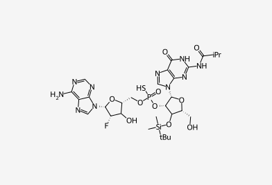 CC(C)C(=O)Nc1nc2c(ncn2[C@@H]2O[C@H](CO)C(O[Si](C)(C)C(C)(C)C)[C@@H]2OP(=O)(S)OC[C@H]2O[C@@H](n3cnc4c(N)ncnc43)[C@@H](F)C2O)c(=O)[nH]1